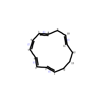 [CH]1/C=C/C=C/C=C\C=C\C/C=C/CC1